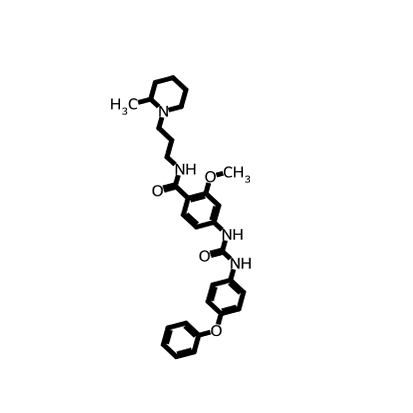 COc1cc(NC(=O)Nc2ccc(Oc3ccccc3)cc2)ccc1C(=O)NCCCN1CCCCC1C